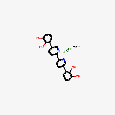 Oc1cccc(-c2ccc(-c3ccc(-c4cccc(O)c4O)cn3)nc2)c1O.[Cl-].[Cl-].[Cl-].[Mn+3]